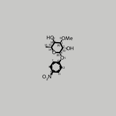 CO[C@H]1[C@H](O)[C@@H](Oc2ccc([N+](=O)[O-])cc2)O[C@@H](C)[C@H]1O